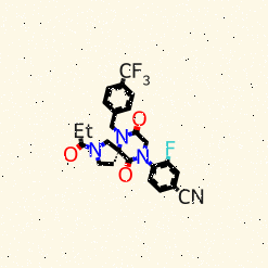 CCC(=O)N1CC[C@@]2(C1)C(=O)N(c1ccc(C#N)cc1F)CC(=O)N2Cc1ccc(C(F)(F)F)cc1